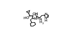 NC(Cc1ncc[nH]1)C(=O)N[C@@H](CC1CCCCC1)[C@H](O)[C@@H](O)C1CC1